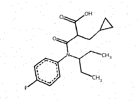 CCC(CC)N(C(=O)C(CC1CC1)C(=O)O)c1ccc(F)cc1